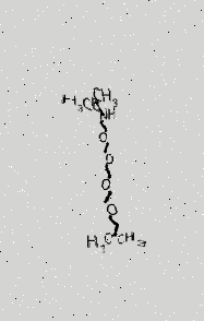 CB(C)NCCOCCOCCOCCOCCC(C)C